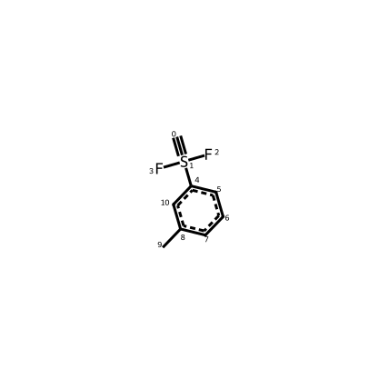 C#S(F)(F)c1cccc(C)c1